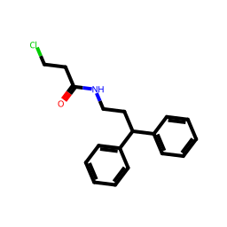 O=C(CCCl)NCCC(c1ccccc1)c1ccccc1